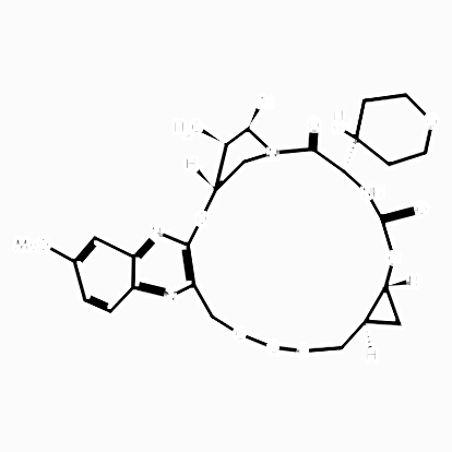 COc1ccc2nc3c(nc2c1)O[C@H]1CN(C(=O)[C@H](C2(C)CCOCC2)NC(=O)O[C@@H]2C[C@H]2CCCCC3)[C@H](C(C)=O)[C@@H]1C